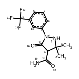 CC1(C)NN(c2cccc(C(F)(F)F)c2)C(=O)C1C(N)=O